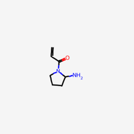 C=CC(=O)N1CCCC1N